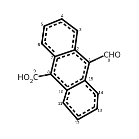 O=Cc1c2ccccc2c(C(=O)O)c2ccccc12